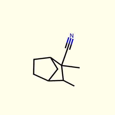 CC1C2CCC(C2)C1(C)C#N